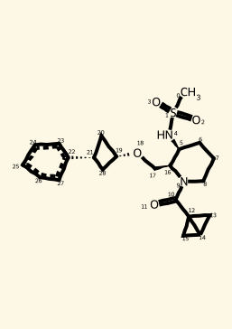 CS(=O)(=O)N[C@H]1CCCN(C(=O)C23CC2C3)[C@H]1CO[C@H]1C[C@@H](c2ccccc2)C1